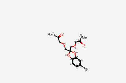 COC(=O)COCC1(COCC(=O)OC)Oc2ccc(C(C)=O)cc2O1